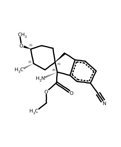 CCOC(=O)[C@]1(N)c2cc(C#N)ccc2C[C@@]12CC[C@H](OC)[C@@H](C)C2